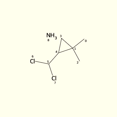 CC1(C)CC1C(Cl)Cl.N